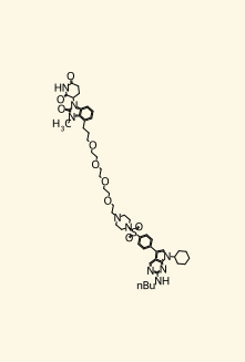 CCCCNc1ncc2c(-c3ccc(S(=O)(=O)N4CCN(CCOCCOCCOCCOCCCc5cccc6c5n(C)c(=O)n6C5CCC(=O)NC5=O)CC4)cc3)cn(C3CCCCC3)c2n1